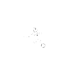 Cn1cc(NC(=O)OC(C)(C)C)c(NC(=O)C[C@H](OC(N)=O)C(O)Cc2ccccc2)n1